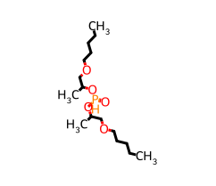 CCCCCOCC(C)O[PH](=O)OC(C)COCCCCC